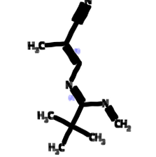 C=N/C(=N\C=C(/C)C#N)C(C)(C)C